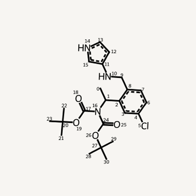 CC(c1cc(Cl)ccc1CNc1cc[nH]c1)N(C(=O)OC(C)(C)C)C(=O)OC(C)(C)C